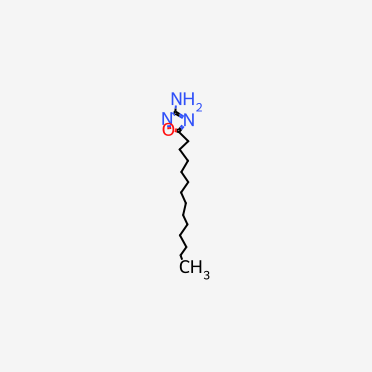 CCCCCCCCCCCCCc1nc(N)no1